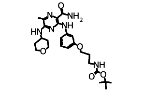 Cc1nc(C(N)=O)c(Nc2cccc(OCCCNC(=O)OC(C)(C)C)c2)nc1NC1CCOCC1